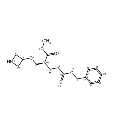 COC(=O)[C@H](COC1CNC1)NCC(=O)OCc1ccccc1